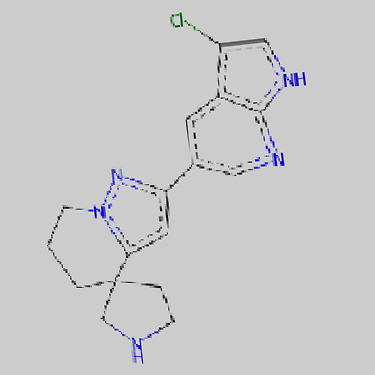 Clc1c[nH]c2ncc(-c3cc4n(n3)CCCC43CCNC3)cc12